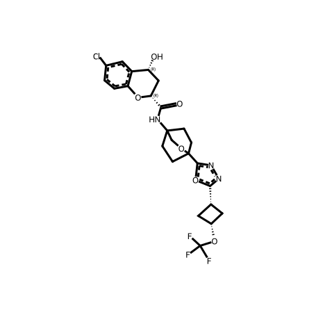 O=C(NC12CCC(c3nnc([C@H]4C[C@@H](OC(F)(F)F)C4)o3)(CC1)OC2)[C@H]1C[C@@H](O)c2cc(Cl)ccc2O1